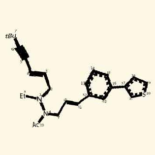 CCN(C/C=C/C#CC(C)(C)C)N(C/C=C/c1cccc(-c2ccsc2)c1)C(C)=O